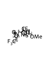 COCc1nn2c(C(F)(F)F)c(CN3CC(CC(F)(F)F)CC3=O)nc2s1